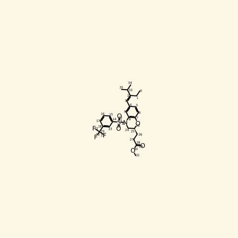 CC/C(=C\c1ccc2c(c1)N(S(=O)(=O)c1cccc(C(F)(F)F)c1)C[C@H](CCC(=O)OC)O2)C(C)C